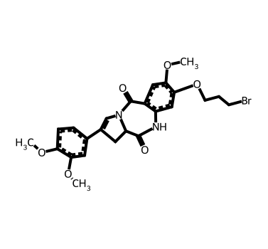 COc1ccc(C2=CN3C(=O)c4cc(OC)c(OCCCBr)cc4NC(=O)C3C2)cc1OC